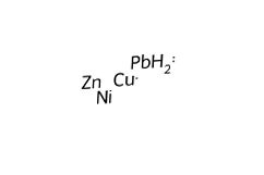 [Cu].[Ni].[PbH2].[Zn]